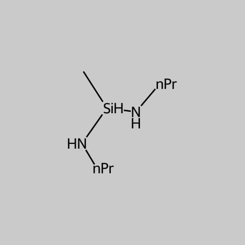 CCCN[SiH](C)NCCC